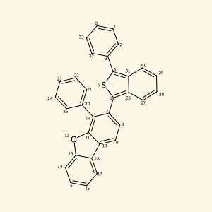 c1ccc(-c2sc(-c3ccc4c(oc5ccccc54)c3-c3ccccc3)c3ccccc23)cc1